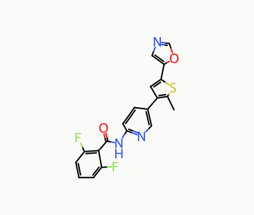 Cc1sc(-c2cnco2)cc1-c1ccc(NC(=O)c2c(F)cccc2F)nc1